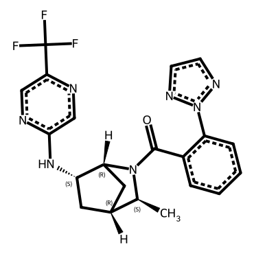 C[C@H]1[C@@H]2C[C@H](Nc3cnc(C(F)(F)F)cn3)[C@@H](C2)N1C(=O)c1ccccc1-n1nccn1